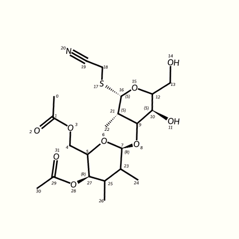 CC(=O)OCC1O[C@@H](OC2[C@H](O)C(CO)O[C@@H](SCC#N)[C@H]2C)C(C)C(C)[C@H]1OC(C)=O